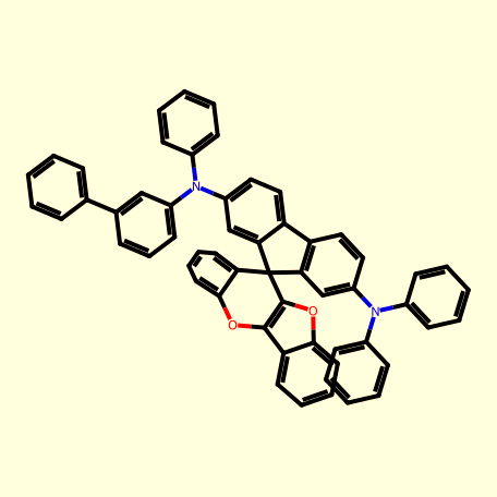 c1ccc(-c2cccc(N(c3ccccc3)c3ccc4c(c3)C3(c5ccccc5Oc5c3oc3ccccc53)c3cc(N(c5ccccc5)c5ccccc5)ccc3-4)c2)cc1